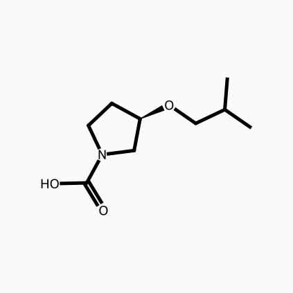 CC(C)CO[C@@H]1CCN(C(=O)O)C1